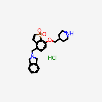 Cl.O=S1(=O)C=Cc2c(CN3Cc4ccccc4C3)ccc(OCC3CCNCC3)c21